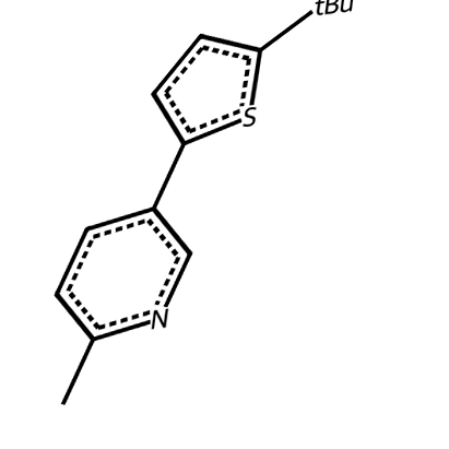 Cc1ccc(-c2ccc(C(C)(C)C)s2)cn1